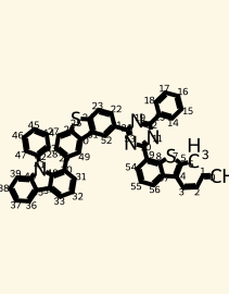 C=C/C=C\c1c(C)sc2c(-c3nc(-c4ccccc4)nc(-c4ccc5sc6ccc(-c7cccc8c9ccccc9n(-c9ccccc9)c78)cc6c5c4)n3)cccc12